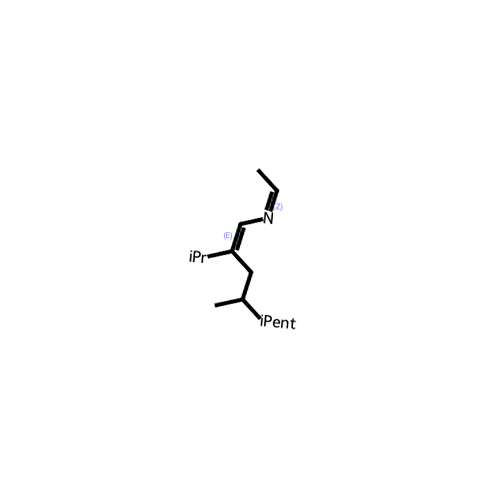 C/C=N\C=C(/CC(C)C(C)CCC)C(C)C